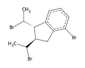 CC(Br)[C@@H]1Cc2c(Br)cccc2[C@H]1C(C)Br